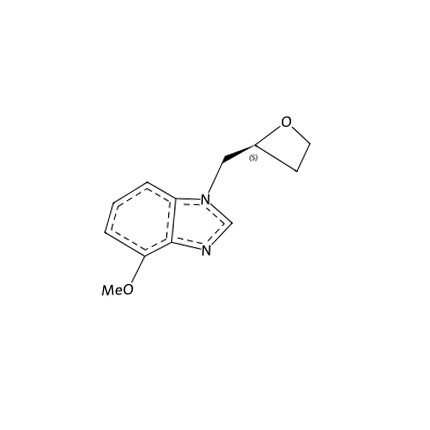 COc1cccc2c1ncn2C[C@@H]1CCO1